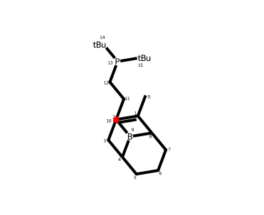 CC1=CCC2CCCC1B2CCCP(C(C)(C)C)C(C)(C)C